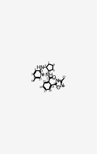 Cc1ccc(N[C@H]2CCC[C@@H]2NC(=O)c2ccccc2-c2nc(C)no2)nc1